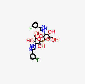 OCC1O[C@@H](SC2O[C@H](CO)C(O)C(n3cc(-c4cccc(F)c4)nn3)[C@H]2O)[C@@H](O)C(n2cc(-c3cccc(F)c3)nn2)[C@H]1O